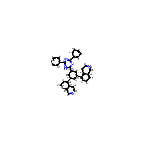 c1ccc(-c2nc(-c3ccccc3)nc(-c3cc(-c4cccc5cnccc45)cc(-c4cccc5cnccc45)c3)n2)cc1